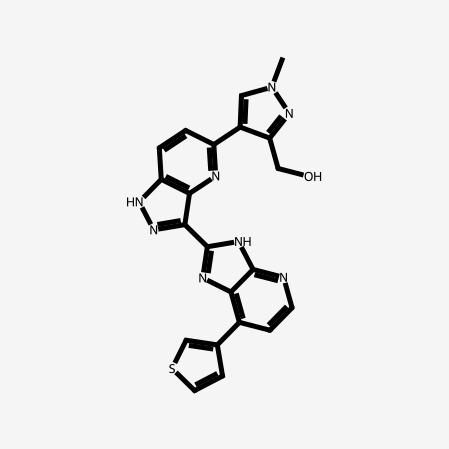 Cn1cc(-c2ccc3[nH]nc(-c4nc5c(-c6ccsc6)ccnc5[nH]4)c3n2)c(CO)n1